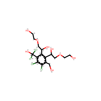 OCCOCC(O)c1c(CO)c(Cl)c(Cl)c(C(O)(Cl)Cl)c1C(O)COCCO